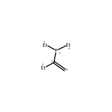 C=C(CC)P(CC)CC